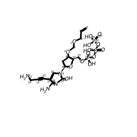 C=CCOCOC1C[C@H](N2C=C(C#CCN)C(N)=NC2O)O[C@@H]1COP(=O)(O)OP(=O)(O)OP(=O)(O)O